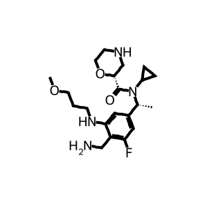 COCCCNc1cc([C@@H](C)N(C(=O)[C@H]2CNCCO2)C2CC2)cc(F)c1CN